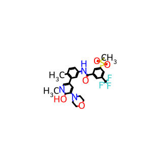 Cc1ccc(NC(=O)c2cc(C(F)(F)F)cc(S(C)(=O)=O)c2)cc1C1=CN(C)C(O)C(N2CCOCC2)=C1